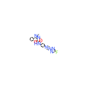 Cc1nc(-c2ccccc2)c(C(=O)C(=O)Nc2ccc(N3CCN(c4ncc(F)cn4)CC3)cc2)n1C